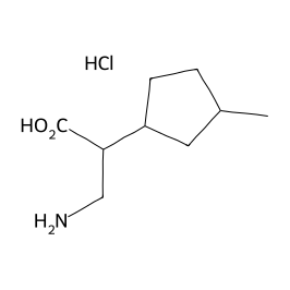 CC1CCC(C(CN)C(=O)O)C1.Cl